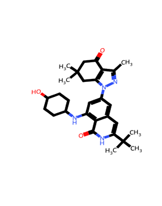 Cc1nn(-c2cc(NC3CCC(O)CC3)c3c(=O)[nH]c(C(C)(C)C)cc3c2)c2c1C(=O)CC(C)(C)C2